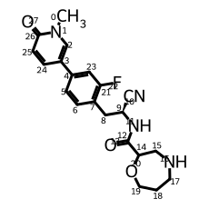 Cn1cc(-c2ccc(C[C@@H](C#N)NC(=O)C3CNCCCO3)c(F)c2)ccc1=O